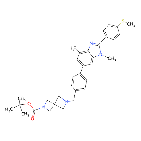 CSc1ccc(-c2nc3c(C)cc(-c4ccc(CN5CC6(C5)CN(C(=O)OC(C)(C)C)C6)cc4)cc3n2C)cc1